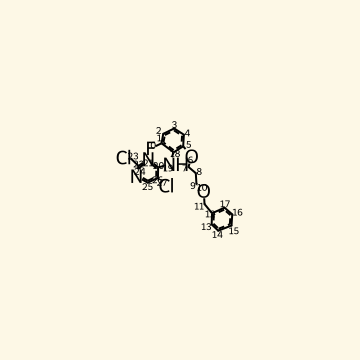 Fc1cccc(OCCCOCc2ccccc2)c1Nc1nc(Cl)ncc1Cl